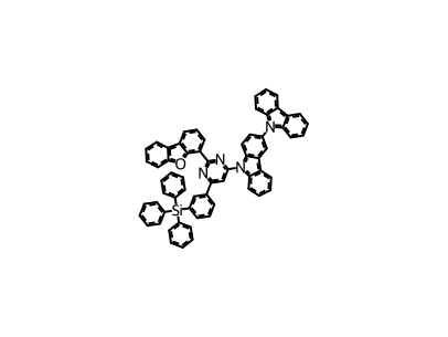 c1ccc([Si](c2ccccc2)(c2ccccc2)c2cccc(-c3cc(-n4c5ccccc5c5cc(-n6c7ccccc7c7ccccc76)ccc54)nc(-c4cccc5c4oc4ccccc45)n3)c2)cc1